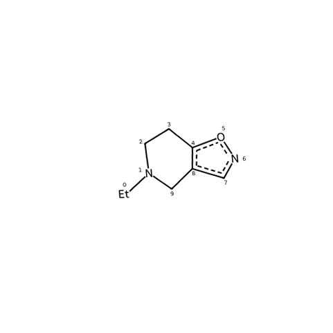 CCN1CCc2oncc2C1